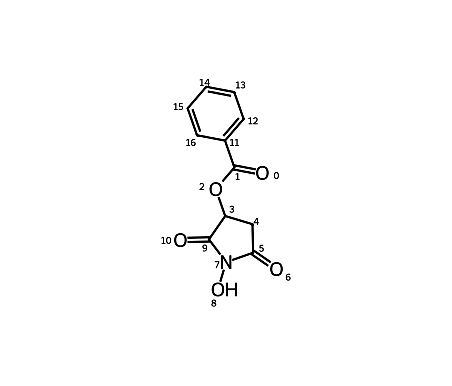 O=C(OC1CC(=O)N(O)C1=O)c1ccccc1